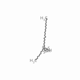 CCCCCCCCCCCCCCCCCCCCOC(CCCCCCCCCC)(CC(O)=S)C(O)=S